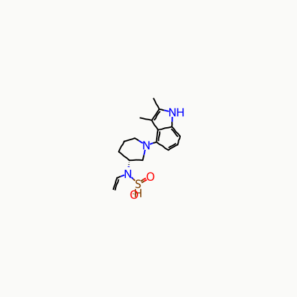 C=CN([C@@H]1CCCN(c2cccc3[nH]c(C)c(C)c23)C1)[SH](=O)=O